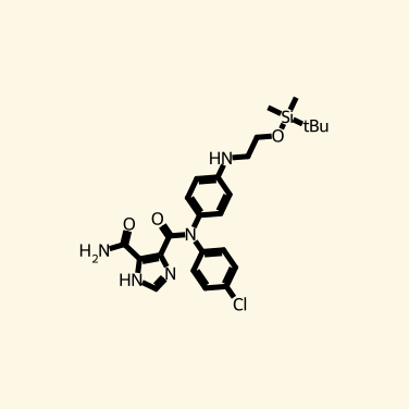 CC(C)(C)[Si](C)(C)OCCNc1ccc(N(C(=O)c2nc[nH]c2C(N)=O)c2ccc(Cl)cc2)cc1